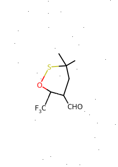 CC1(C)CC(C=O)C(C(F)(F)F)OS1